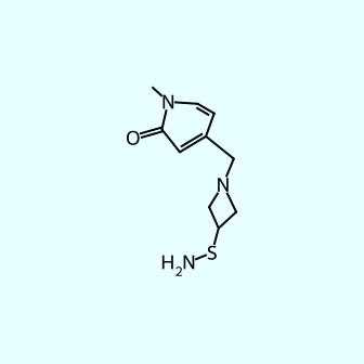 Cn1ccc(CN2CC(SN)C2)cc1=O